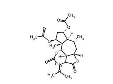 CC(=O)O[C@H]1C[C@H](OC(C)=O)[C@]2(C)[C@@H]1[C@H](C)C[C@@H]1OC(=O)C(CN(C)C)[C@H]1[C@@H]2OC(C)=O